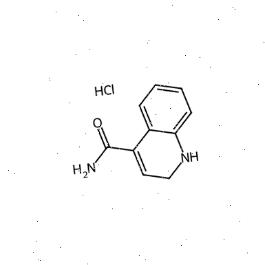 Cl.NC(=O)C1=CCNc2ccccc21